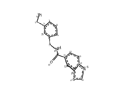 CC(C)Cc1cccc(CNC(=O)c2ccc3ncsc3c2)c1